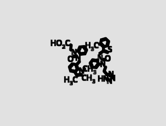 Cc1c(C)n(C)c2c(Cn3c(=O)n(CCC(=O)O)c4ccccc43)cccc12.Cc1cccc2scc(Cn3c(=O)n(CCc4nnn[nH]4)c4ccccc43)c12